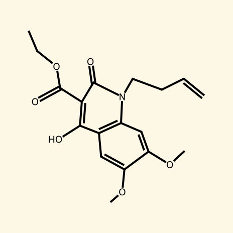 C=CCCn1c(=O)c(C(=O)OCC)c(O)c2cc(OC)c(OC)cc21